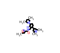 Cc1cc(-c2ccc(N3C[C@@H](C)C[C@H](C)C3)cc2CNC(=O)c2cc(C)on2)cc(C)n1